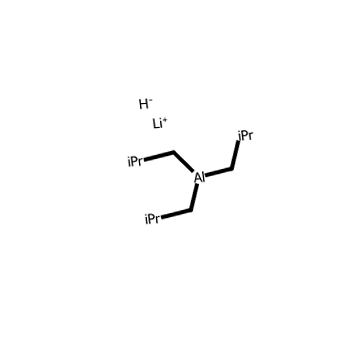 CC(C)[CH2][Al]([CH2]C(C)C)[CH2]C(C)C.[H-].[Li+]